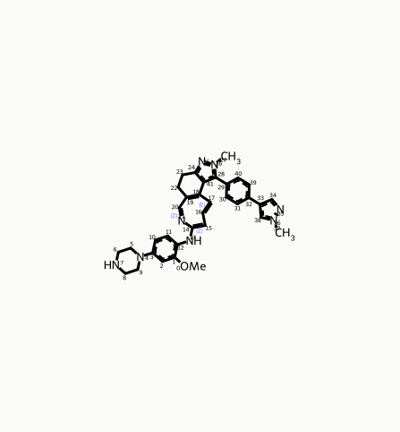 COc1cc(N2CCNCC2)ccc1NC1=C/C=C/C2=C(/C=N\1)CCc1nn(C)c(-c3ccc(-c4cnn(C)c4)cc3)c12